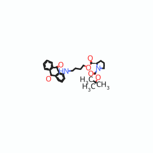 CC(C)(C)OC(=O)N1CCC[C@@H]1C(=O)OCCCCNc1cccc2c1C(=O)c1ccccc1C2=O